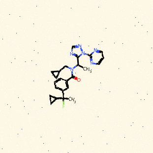 CC(c1ncnn1-c1ncccn1)N(CC1CC1)C(=O)c1cccc(C(C)(F)C2CC2)c1